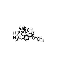 CCOC(=O)c1ccc(CC)c(OP(=O)(N(C)C)N(C)C)c1